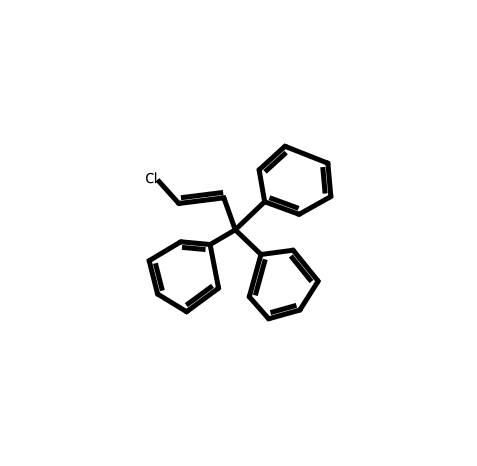 ClC=CC(c1ccccc1)(c1ccccc1)c1ccccc1